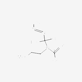 COCCN(C(=O)S)C(C)(C)N=NC(C)(C)C